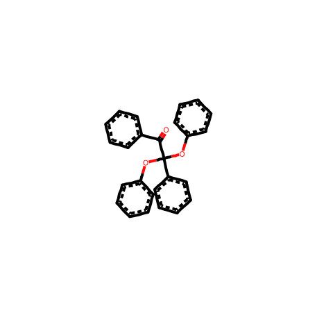 O=C(c1ccccc1)C(Oc1ccccc1)(Oc1ccccc1)c1ccccc1